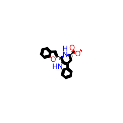 COC(=O)[C@H]1Cc2c([nH]c3ccccc23)[C@H](c2cc3ccccc3o2)N1